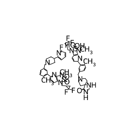 Cc1ccc(CN2CCC(c3cccc(F)n3)CC2)cc1-c1ccc2c(n1)N(C)S(=O)(=O)N2CC1CC1(F)F.Cc1ccc(CN2CCC3(CC2)NCNC3=O)cc1-c1ccc2c(n1)N(C)S(O)(O)N2CC1CC1(F)F